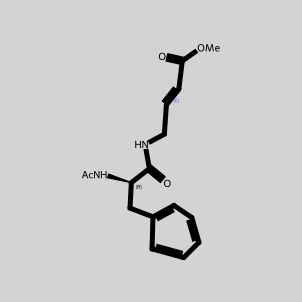 COC(=O)/C=C/CNC(=O)[C@@H](Cc1ccccc1)NC(C)=O